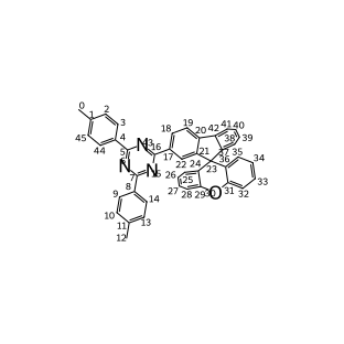 Cc1ccc(-c2nc(-c3ccc(C)cc3)nc(-c3ccc4c(c3)C3(c5ccccc5Oc5ccccc53)c3ccccc3-4)n2)cc1